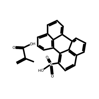 C=C(C)C(=O)O.O=S(=O)(O)c1ccc2cccc3c4cccc5cccc(c1c23)c54